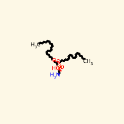 CCCCC/C=C\C/C=C\C/C=C\C/C=C\CCCCOCC(COP(=O)(O)OCCN)OCCCC/C=C\C/C=C\C/C=C\C/C=C\CCCCC